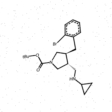 CC(C)(C)OC(=O)N1C[C@@H](CNC2CC2)[C@H](Cc2ccccc2Br)C1